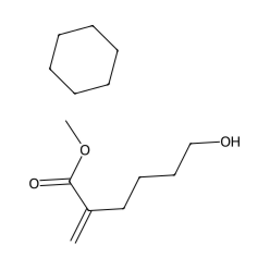 C1CCCCC1.C=C(CCCCO)C(=O)OC